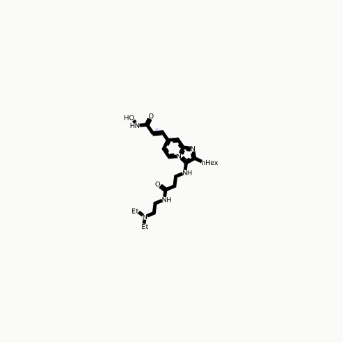 CCCCCCc1nc2cc(/C=C/C(=O)NO)ccn2c1NCCC(=O)NCCN(CC)CC